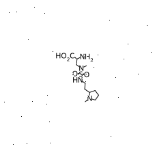 CN1CCCC1CCNS(=O)(=O)N(C)C[C@H](N)C(=O)O